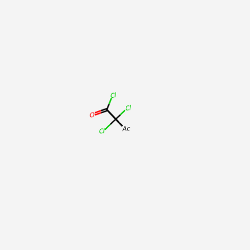 CC(=O)C(Cl)(Cl)C(=O)Cl